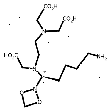 NCCCC[C@H](N(CCN(CC(=O)O)CC(=O)O)CC(=O)O)N1OCO1